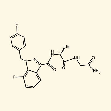 CC(C)(C)[C@H](NC(=O)c1nn(Cc2ccc(F)cc2)c2c(F)cccc12)C(=O)NCC(N)=O